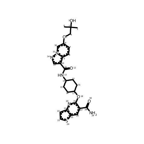 CC(C)(O)COc1ccc2c(C(=O)NC3CCC(Oc4nc5ccsc5cc4C(N)=O)CC3)cnn2c1